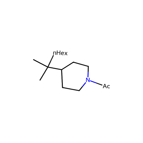 CCCCCCC(C)(C)C1CCN(C(C)=O)CC1